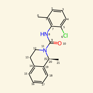 Cc1cccc(Cl)c1NC(=O)N1CCc2ccccc2[C@@H]1C